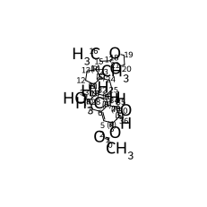 CC(=O)O[C@@H]1C=C2C[C@@H](O)[C@H]3[C@@H]4CC[C@H](C(C)C5OCCO5)[C@@]4(C)CC[C@@H]3[C@@]2(C)[C@H]2O[C@@H]12